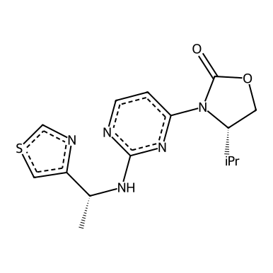 CC(C)[C@H]1COC(=O)N1c1ccnc(N[C@H](C)c2cscn2)n1